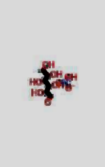 O=C[C@@H](O)[C@@H](O)[C@H](O)[C@H](O)CO.O=[N+]([O-])O